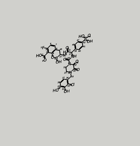 O=C(O)c1c(F)ccc2c1OB(O)C(NC(=O)C(NC(=O)N1CCN(Cc3ccc(O)c(O)c3Cl)C(=O)C1=O)c1ccc(P(=O)(O)O)cc1)C2